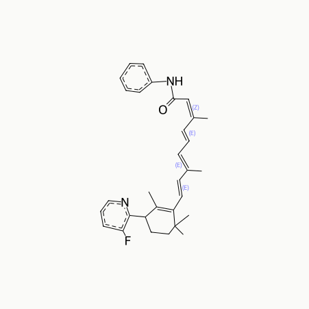 CC1=C(/C=C/C(C)=C/C=C/C(C)=C\C(=O)Nc2ccccc2)C(C)(C)CCC1c1ncccc1F